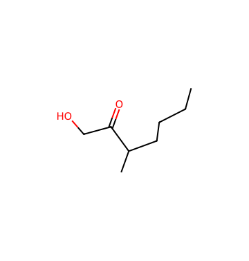 CCCCC(C)C(=O)CO